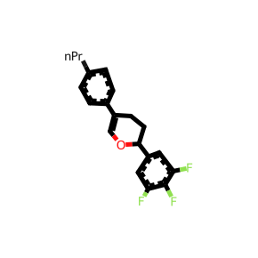 CCCc1ccc(C2=COC(c3cc(F)c(F)c(F)c3)CC2)cc1